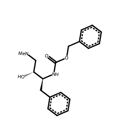 CNC[C@@H](O)[C@H](Cc1ccccc1)NC(=O)OCc1ccccc1